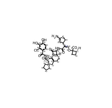 NC1=NC(/C(=N/OC2(C(=O)O)CCC2)C(=O)N[C@@H]2C(=O)N3C(C=O)=C(C[N+]4(CCNC(=O)c5ccc(O)c(O)c5Cl)CCCC4)CS[C@H]23)CS1